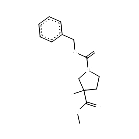 COC(=O)C1(F)CCN(C(=O)OCc2ccccc2)C1